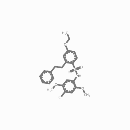 CCOc1ccc(S(=O)(=O)Nc2cc(OC)c(Cl)cc2OC)c(CCc2ccccc2)c1